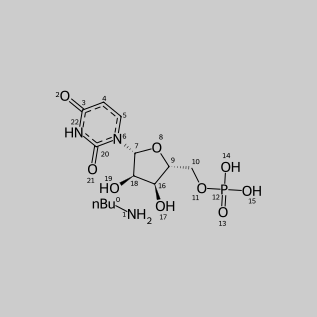 CCCCN.O=c1ccn([C@@H]2O[C@H](COP(=O)(O)O)[C@@H](O)[C@H]2O)c(=O)[nH]1